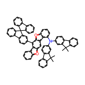 CC1(C)c2ccccc2-c2ccc(N(c3ccc4c(c3)C(C)(C)c3ccccc3-4)c3cccc4oc5c(-c6ccc7c(c6)C6(c8ccccc8-c8ccccc86)c6ccccc6-7)c6c(cc5c34)oc3ccccc36)cc21